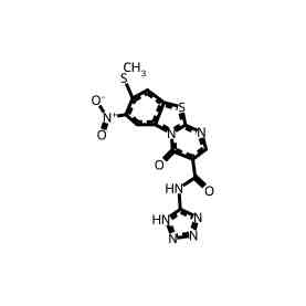 CSc1cc2sc3ncc(C(=O)Nc4nnn[nH]4)c(=O)n3c2cc1[N+](=O)[O-]